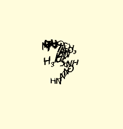 C[C@@H](NC(=O)Cn1cnnn1)[C@H]1C(=O)N2C=C(S[C@@H]3CN[C@H](C(=O)N4CCN(C5CNC5)CC4)C3)[C@H](C)[C@H]12